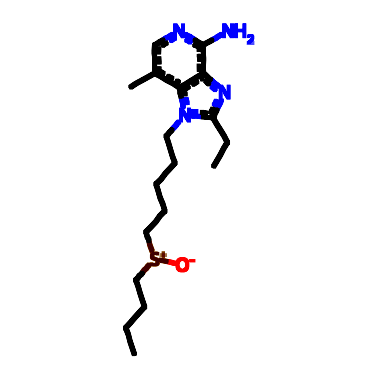 CCCC[S+]([O-])CCCCCn1c(CC)nc2c(N)ncc(C)c21